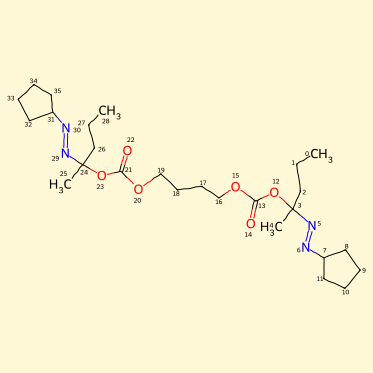 CCCC(C)(N=NC1CCCC1)OC(=O)OCCCCOC(=O)OC(C)(CCC)N=NC1CCCC1